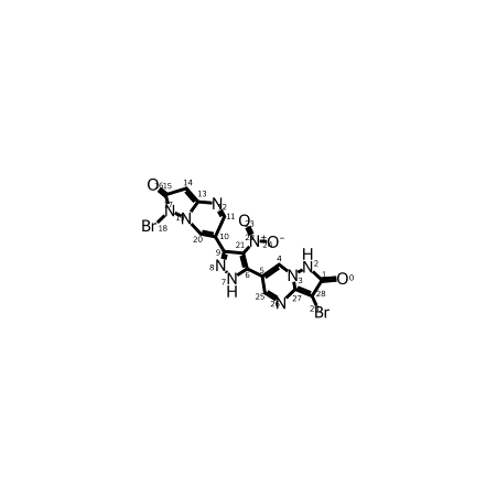 O=c1[nH]n2cc(-c3[nH]nc(-c4cnc5cc(=O)n(Br)n5c4)c3[N+](=O)[O-])cnc2c1Br